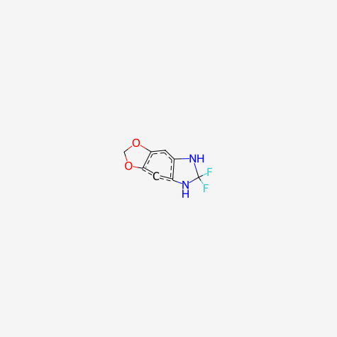 FC1(F)Nc2cc3c(cc2N1)OCO3